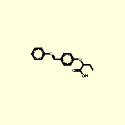 CCC(Oc1ccc(C=Nc2ccccc2)cc1)C(=O)O